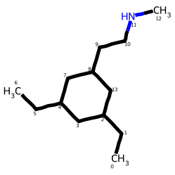 CCC1CC(CC)CC(CCNC)C1